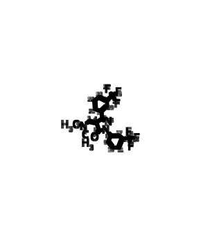 CN(C)C=C1C(=O)N(c2cccc(C(F)(F)F)c2)N=C1c1cccc(C(F)(F)F)c1